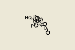 CC(C)[C@H](CO)NCc1nc(-c2cc3c(OCc4ccccc4)cccc3n2C(=O)OC(C)(C)C)ccc1F